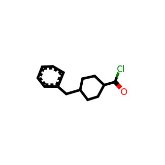 O=C(Cl)C1CCC(Cc2ccccc2)CC1